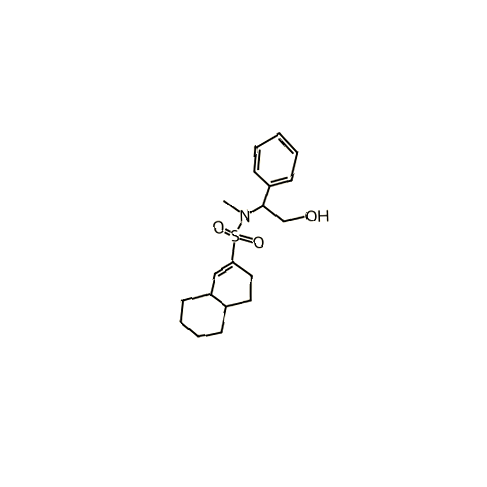 CN(C(CO)c1ccccc1)S(=O)(=O)C1=CC2CCCCC2CC1